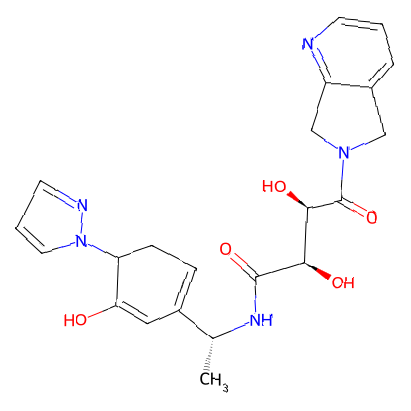 C[C@@H](NC(=O)[C@H](O)[C@@H](O)C(=O)N1Cc2cccnc2C1)C1=CCC(n2cccn2)C(O)=C1